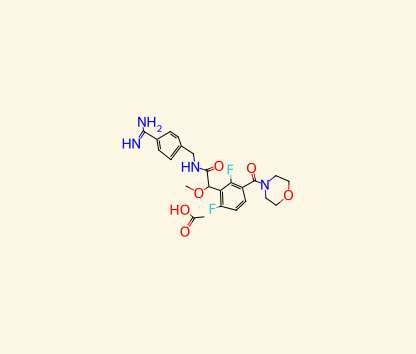 CC(=O)O.COC(C(=O)NCc1ccc(C(=N)N)cc1)c1c(F)ccc(C(=O)N2CCOCC2)c1F